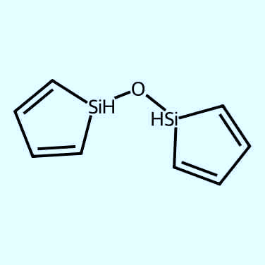 C1=C[SiH](O[SiH]2C=CC=C2)C=C1